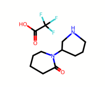 O=C(O)C(F)(F)F.O=C1CCCCN1C1CCCNC1